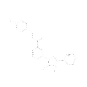 O=C(/C=C/c1ccc(F)cc1)c1cccc(-n2cc(-c3cccnc3)[nH]c2=O)c1